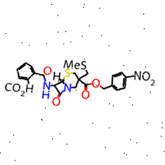 CSCC1(C(=O)OCc2ccc([N+](=O)[O-])cc2)CS[C@@H]2C(NC(=O)c3ccccc3C(=O)O)C(=O)N2C1